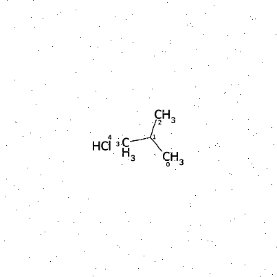 CC(C)C.Cl